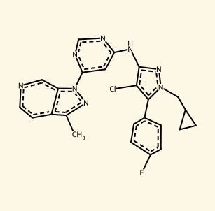 Cc1nn(-c2cc(Nc3nn(CC4CC4)c(-c4ccc(F)cc4)c3Cl)ncn2)c2cnccc12